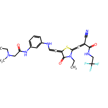 CCN(C)CC(=O)Nc1cccc(NC=C=c2sc(=C=C(C#N)C(=O)NCC(F)(F)F)n(CC)c2=O)c1